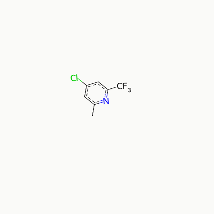 Cc1cc(Cl)cc(C(F)(F)F)n1